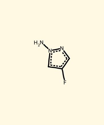 Nn1cc(F)cn1